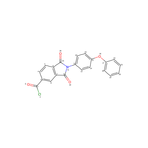 O=C(Cl)c1ccc2c(c1)C(=O)N(c1ccc(Oc3ccccc3)cc1)C2=O